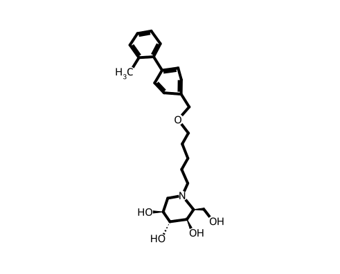 Cc1ccccc1-c1ccc(COCCCCCN2C[C@H](O)[C@@H](O)[C@H](O)[C@@H]2CO)cc1